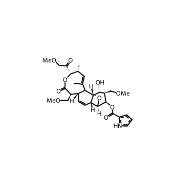 COCC(=O)[C@H]1OC(=O)[C@H](COC)[C@H]2C=C[C@H]3[C@H]4O[C@]2(/C(C)=C/[C@H]1C)[C@@H]3[C@H](O)[C@@H](COC)[C@H]4OC(=O)c1ccc[nH]1